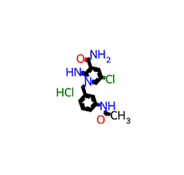 CC(=O)Nc1cccc(Cn2cc(Cl)cc(C(N)=O)c2=N)c1.Cl